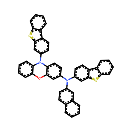 c1ccc2c(c1)Oc1cc(N(c3ccc4ccccc4c3)c3ccc4c(c3)sc3ccccc34)ccc1N2c1ccc2c(c1)sc1ccccc12